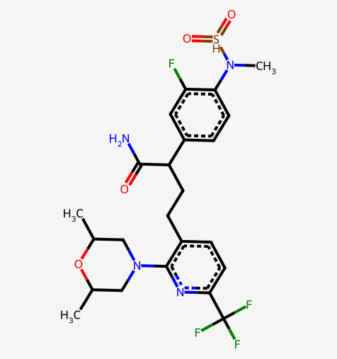 CC1CN(c2nc(C(F)(F)F)ccc2CCC(C(N)=O)c2ccc(N(C)[SH](=O)=O)c(F)c2)CC(C)O1